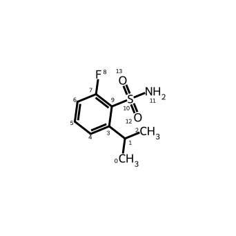 CC(C)c1cccc(F)c1S(N)(=O)=O